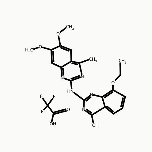 CCOc1cccc2c(O)nc(Nc3nc(C)c4cc(OC)c(OC)cc4n3)nc12.O=C(O)C(F)(F)F